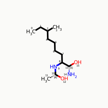 CCC(C)CCCCC(N[C@@H](C)O)[C@@H](N)O